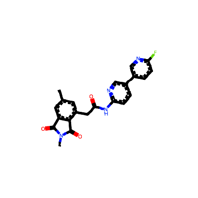 Cc1cc(CC(=O)Nc2ccc(-c3ccc(F)nc3)cn2)c2c(c1)C(=O)N(C)C2=O